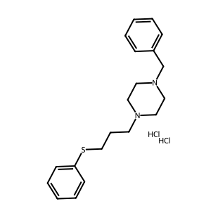 Cl.Cl.c1ccc(CN2CCN(CCCSc3ccccc3)CC2)cc1